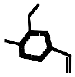 C=Cc1ccc(C)c(CC)c1